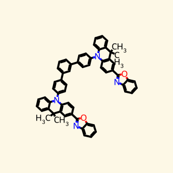 CC1(C)c2ccccc2N(c2ccc(-c3cccc(-c4ccc(N5c6ccccc6C(C)(C)c6cc(-c7nc8ccccc8o7)ccc65)cc4)c3)cc2)c2ccc(-c3nc4ccccc4o3)cc21